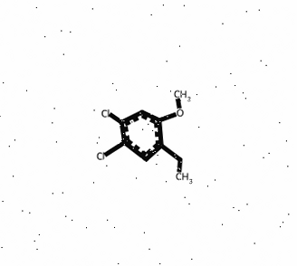 CCc1cc(Cl)c(Cl)cc1OC